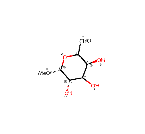 CO[C@@H]1OC(C=O)[C@@H](O)C(O)[C@@H]1O